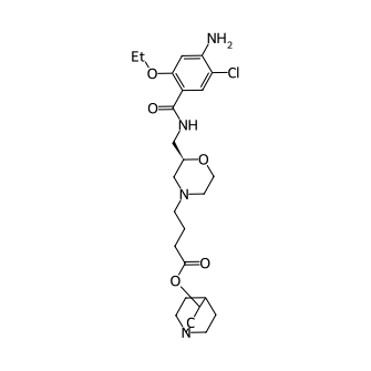 CCOc1cc(N)c(Cl)cc1C(=O)NC[C@@H]1CN(CCCC(=O)OC2CN3CCC2CC3)CCO1